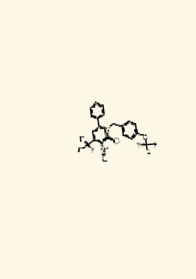 [C-]#[N+]c1c(C(F)(F)F)cc(-c2ccccc2)n(Cc2ccc(OC(F)(F)F)cc2)c1=O